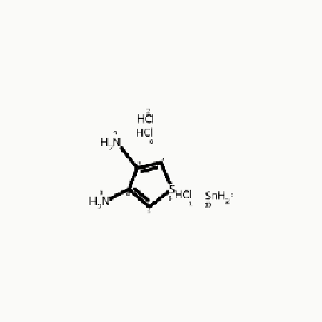 Cl.Cl.Cl.Nc1cscc1N.[SnH2]